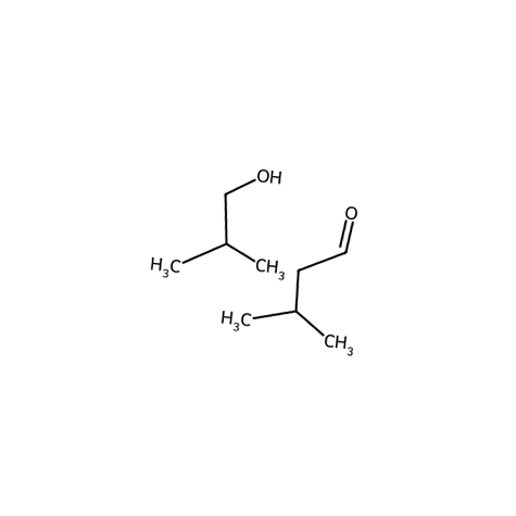 CC(C)CC=O.CC(C)CO